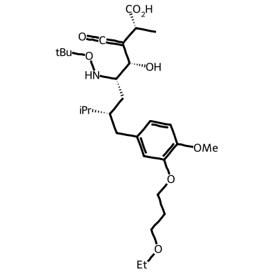 CCOCCCOc1cc(C[C@@H](C[C@H](NOC(C)(C)C)[C@@H](O)C(=C=O)[C@@H](C)C(=O)O)C(C)C)ccc1OC